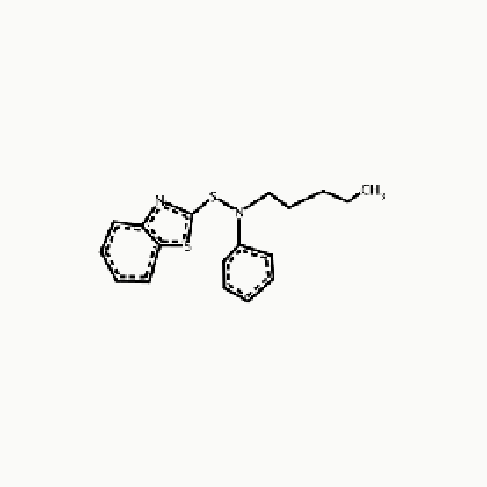 CCCCCN(Sc1nc2ccccc2s1)c1ccccc1